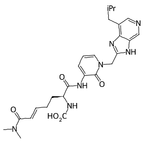 CC(C)Cc1cncc2[nH]c(Cn3cccc(NC(=O)[C@H](CC/C=C/C(=O)N(C)C)NC(=O)O)c3=O)nc12